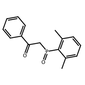 Cc1cccc(C)c1[P](=O)CC(=O)c1ccccc1